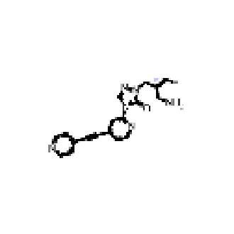 NC/C(=C\F)Cn1ncn(-c2cc(C#Cc3ccncc3)ccn2)c1=O